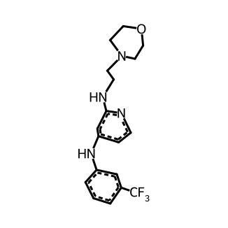 FC(F)(F)c1cccc(Nc2ccnc(NCCN3CCOCC3)c2)c1